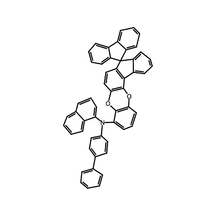 c1ccc(-c2ccc(N(c3cccc4c3Oc3ccc5c(c3O4)-c3ccccc3C53c4ccccc4-c4ccccc43)c3cccc4ccccc34)cc2)cc1